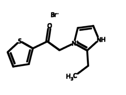 CCc1[nH]cc[n+]1CC(=O)c1cccs1.[Br-]